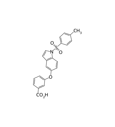 Cc1ccc(S(=O)(=O)n2ccc3cc(Oc4cccc(C(=O)O)c4)ccc32)cc1